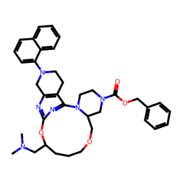 CN(C)CC1CCCOCC2CN(C(=O)OCc3ccccc3)CCN2c2nc(nc3c2CCN(c2cccc4ccccc24)C3)O1